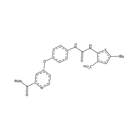 CNC(=O)c1cc(Oc2ccc(NC(=O)Nc3sc(C(C)(C)C)cc3C(=O)O)cc2)ccn1